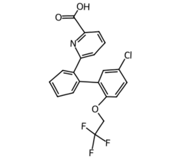 O=C(O)c1cccc(-c2ccccc2-c2cc(Cl)ccc2OCC(F)(F)F)n1